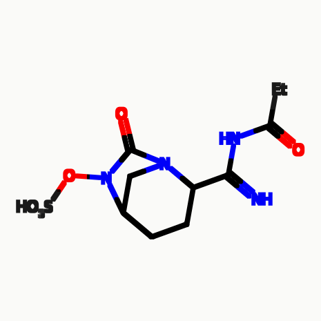 CCC(=O)NC(=N)C1CCC2CN1C(=O)N2OS(=O)(=O)O